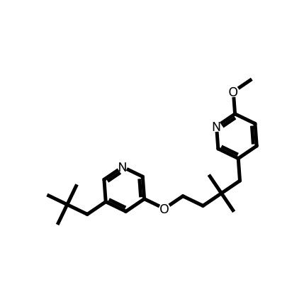 COc1ccc(CC(C)(C)CCOc2cncc(CC(C)(C)C)c2)cn1